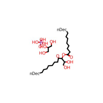 CCCCCCCCCCCCCCCCCC(=O)OC(C(=O)CCCCCCCCCCCCCCCCC)C(O)CO.O=P(O)(O)O.OCC(O)CO